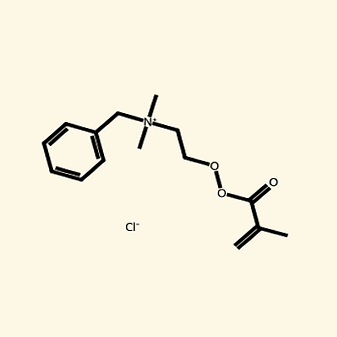 C=C(C)C(=O)OOCC[N+](C)(C)Cc1ccccc1.[Cl-]